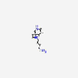 NCCCCN1CCC12CCCNC2